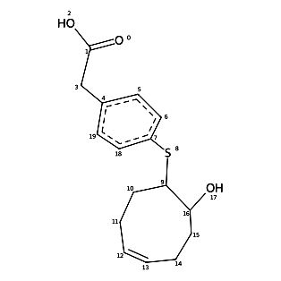 O=C(O)Cc1ccc(SC2CCC=CCCC2O)cc1